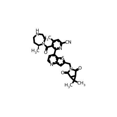 Cc1cc(C#N)nc(-c2ccnc3cc(CN4C(=O)C5C(C4=O)C5(C)C)sc23)c1C(=O)N1CCNCC[C@@H]1C